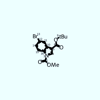 COC(=O)n1cc(C(=O)OC(C)(C)C)c2cc(Br)ccc21